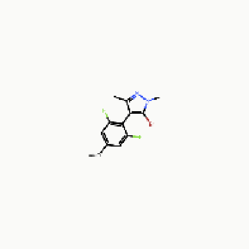 COc1cc(F)c(-c2c(C)nn(C)c2Br)c(F)c1